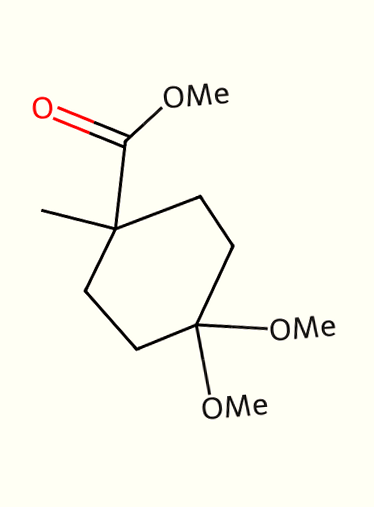 COC(=O)C1(C)CCC(OC)(OC)CC1